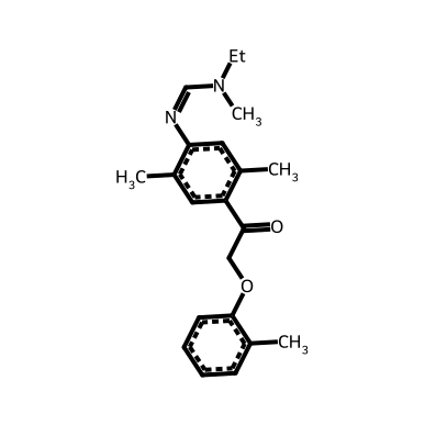 CCN(C)/C=N\c1cc(C)c(C(=O)COc2ccccc2C)cc1C